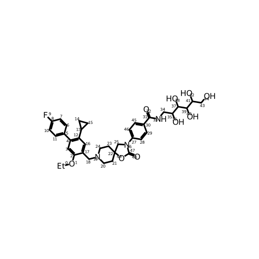 CCOc1cc(-c2ccc(F)cc2)c(C2CC2)cc1CN1CCC2(CC1)CN(c1ccc(C(=O)NCC(O)C(O)C(O)C(O)CO)cc1)C(=O)O2